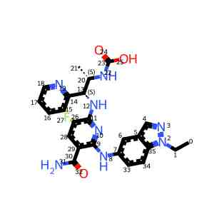 CCn1ncc2cc(Nc3nc(N[C@H](c4ccccn4)[C@H](C)NC(=O)O)c(F)cc3C(N)=O)ccc21